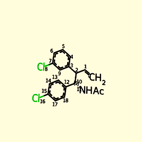 C=CC(c1cccc(Cl)c1)[C@H](NC(C)=O)c1ccc(Cl)cc1